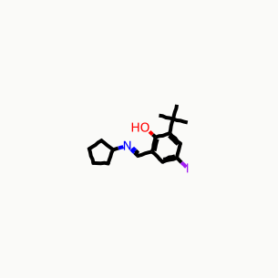 CC(C)(C)c1cc(I)cc(C=NC2CCCC2)c1O